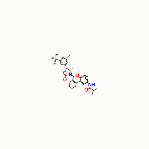 COc1ccc(NC(=O)C(C)C)cc1C1=C(CN2C(=O)O[C@H](c3cc(C)cc(C(F)(F)F)c3)[C@@H]2C)CCCC1